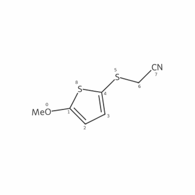 COc1ccc(SCC#N)s1